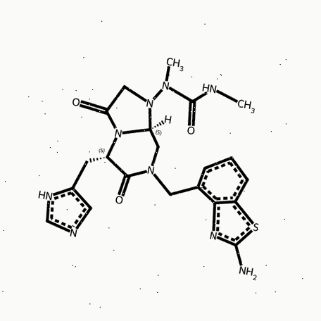 CNC(=O)N(C)N1CC(=O)N2[C@@H](Cc3cnc[nH]3)C(=O)N(Cc3cccc4sc(N)nc34)C[C@@H]21